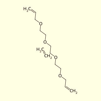 C=C.C=CCOCCOCCOCCOCC=C